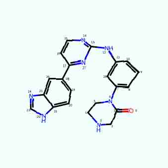 O=C1CNCCN1c1cccc(Nc2nccc(-c3ccc4[nH]cnc4c3)n2)c1